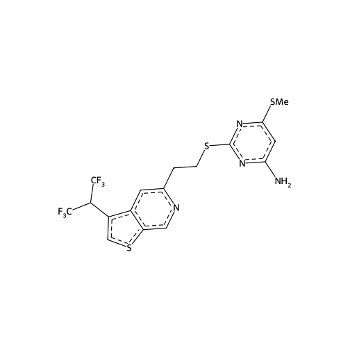 CSc1cc(N)nc(SCCc2cc3c(C(C(F)(F)F)C(F)(F)F)csc3cn2)n1